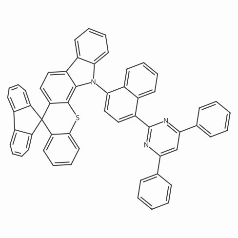 c1ccc(-c2cc(-c3ccccc3)nc(-c3ccc(-n4c5ccccc5c5ccc6c(c54)Sc4ccccc4C64c5ccccc5-c5ccccc54)c4ccccc34)n2)cc1